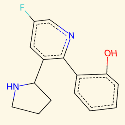 Oc1ccccc1-c1ncc(F)cc1C1CCCN1